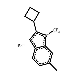 Cc1ccc2cc(C3CCC3)[s+](C(F)(F)F)c2c1.[Br-]